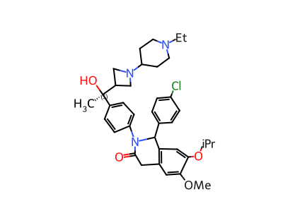 CCN1CCC(N2CC([C@](C)(O)c3ccc(N4C(=O)Cc5cc(OC)c(OC(C)C)cc5C4c4ccc(Cl)cc4)cc3)C2)CC1